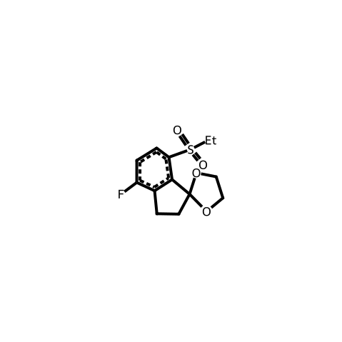 CCS(=O)(=O)c1ccc(F)c2c1C1(CC2)OCCO1